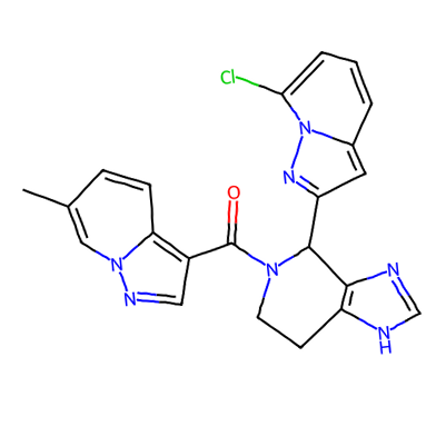 Cc1ccc2c(C(=O)N3CCc4[nH]cnc4C3c3cc4cccc(Cl)n4n3)cnn2c1